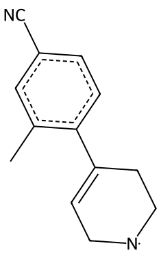 Cc1cc(C#N)ccc1C1=CC[N]CC1